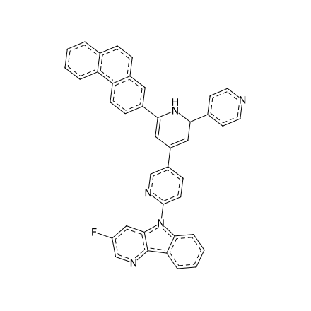 Fc1cnc2c3ccccc3n(-c3ccc(C4=CC(c5ccncc5)NC(c5ccc6c(ccc7ccccc76)c5)=C4)cn3)c2c1